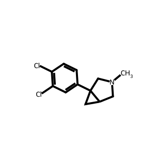 CN1CC2CC2(c2ccc(Cl)c(Cl)c2)C1